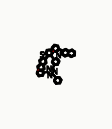 c1ccc(-c2nc(-c3ccccc3)nc(-c3ccc(-n4c5ccccc5c5cc6ccccc6cc54)c(-c4cccc5sc6cc7ccccc7cc6c45)c3)n2)cc1